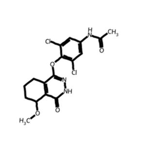 COC1CCCc2c(Oc3c(Cl)cc(NC(C)=O)cc3Cl)n[nH]c(=O)c21